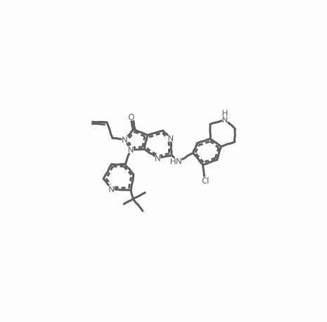 C=CCn1c(=O)c2cnc(Nc3cc4c(cc3Cl)CCNC4)nc2n1-c1ccnc(C(C)(C)C)c1